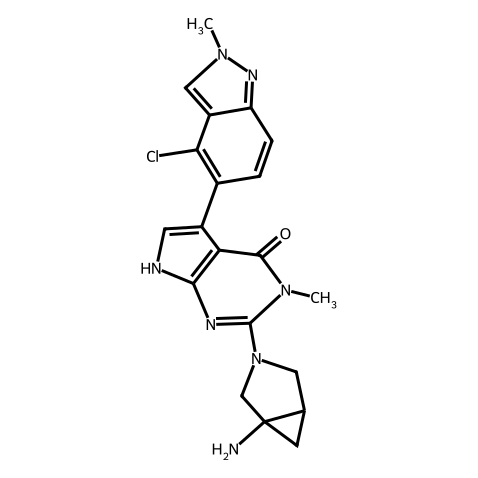 Cn1cc2c(Cl)c(-c3c[nH]c4nc(N5CC6CC6(N)C5)n(C)c(=O)c34)ccc2n1